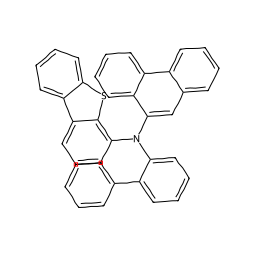 c1ccc(-c2ccccc2N(c2cc3ccccc3c3ccccc23)c2cccc3c2sc2ccccc23)cc1